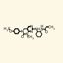 C=CC(=O)NC1CCCCC1Nc1ncc2c(n1)N(C)C(=O)N(c1ccc(OC)cc1)C2